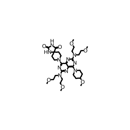 COCCN(CCOC)c1nc(N2CCC3(CC2)NC(=O)NC3=O)c2nc(N(CCOC)CCOC)nc(N3CCC(OC)CC3)c2n1